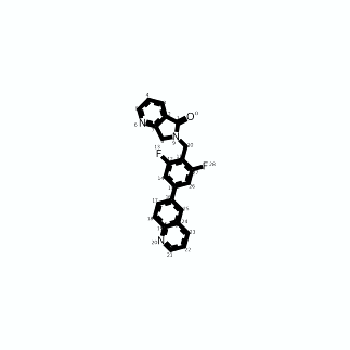 O=C1c2cccnc2CN1Cc1c(F)cc(-c2ccc3ncccc3c2)cc1F